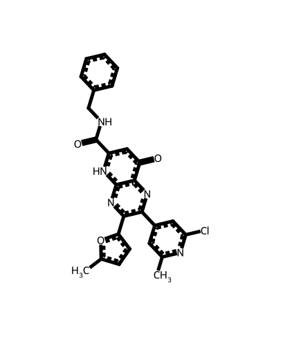 Cc1cc(-c2nc3c(=O)cc(C(=O)NCc4ccccc4)[nH]c3nc2-c2ccc(C)o2)cc(Cl)n1